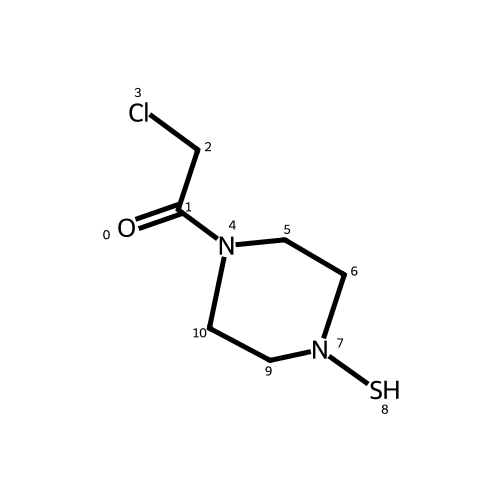 O=C(CCl)N1CCN(S)CC1